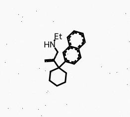 C=C(CNCC)C1(c2ccc3ccccc3c2)CCCCC1